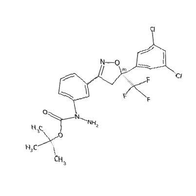 CC(C)(C)OC(=O)N(N)c1cccc(C2=NO[C@](c3cc(Cl)cc(Cl)c3)(C(F)(F)F)C2)c1